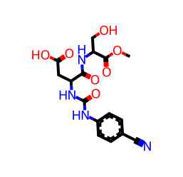 COC(=O)C(CO)NC(=O)C(CC(=O)O)NC(=O)Nc1ccc(C#N)cc1